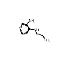 CCCNc1ccncc1N